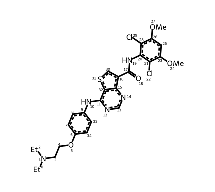 CCN(CC)CCOc1ccc(Nc2ncnc3c(C(=O)Nc4c(Cl)c(OC)cc(OC)c4Cl)csc23)cc1